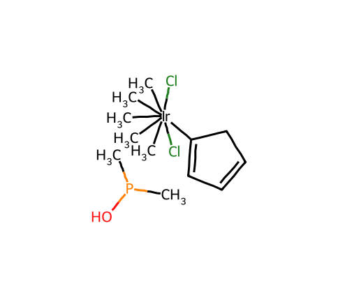 CP(C)O.[CH3][Ir]([CH3])([CH3])([CH3])([CH3])([Cl])([Cl])[C]1=CC=CC1